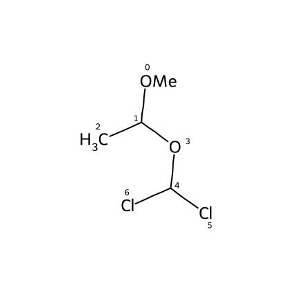 COC(C)OC(Cl)Cl